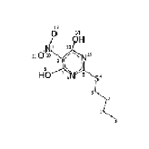 CCCCSc1nc(O)c([N+](=O)[O-])c(O)n1